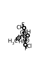 CN1CCN(CC2CN(C(=O)Nc3ccc(F)c(Cl)c3)c3ccccc3N2C(=O)Nc2ccc(F)c(Cl)c2)CC1